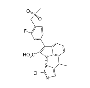 CC(c1cnc(Cl)s1)c1cccc2c(-c3ccc(CS(C)(=O)=O)c(F)c3)c(C(=O)O)[nH]c12